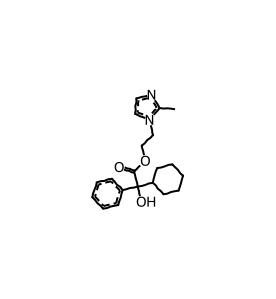 Cc1nccn1CCOC(=O)C(O)(c1ccccc1)C1CCCCC1